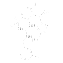 Cc1ccc([C@H](C)c2c(F)ccc3c2NC(NCc2cccc(F)c2)=NS3(=O)=O)o1